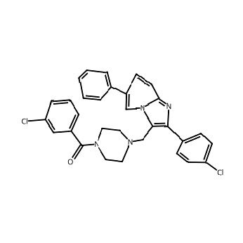 O=C(c1cccc(Cl)c1)N1CCN(Cc2c(-c3ccc(Cl)cc3)nc3ccc(-c4ccccc4)cn23)CC1